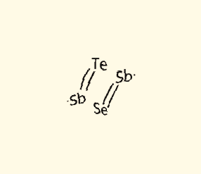 [Sb]=[Te].[Se]=[Sb]